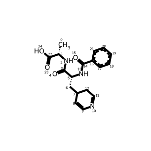 C[C@H](NC(=O)[C@@H](CC1C=CN=CC1)NC(=O)c1ccccc1)C(=O)O